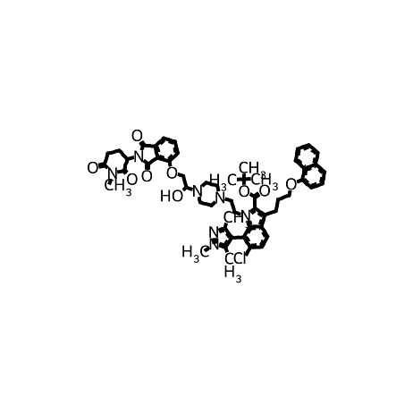 Cc1nn(C)c(C)c1-c1c(Cl)ccc2c(CCCOc3cccc4ccccc34)c(C(=O)OC(C)(C)C)n(CCN3CCN(C(O)COc4cccc5c4C(=O)N(C4CCC(=O)N(C)C4=O)C5=O)CC3)c12